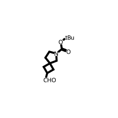 CC(C)(C)OC(=O)N1CCC2(CC(C=O)C2)C1